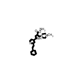 CN1CCN(c2[nH]c(-c3ccnc(C=Cc4ccccc4)c3)cc2C(=O)ON)CC1